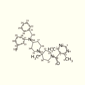 Cc1ncnc(C)c1C(=O)N1CCC(C)(N2CCC(N(Cc3ccccc3)c3cccc(F)c3)CC2)CC1